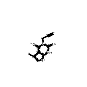 C#CCn1c(=O)[nH]c2scc(C)c2c1=O